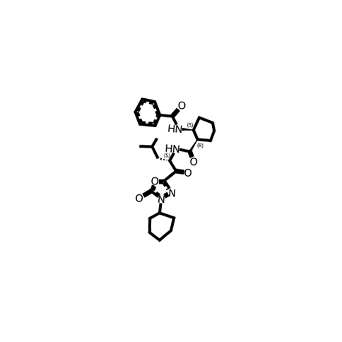 CC(C)C[C@H](NC(=O)[C@@H]1CCCC[C@@H]1NC(=O)c1ccccc1)C(=O)c1nn(C2CCCCC2)c(=O)o1